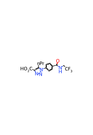 CCCc1c(C(=O)O)nnn1-c1ccc(C(=O)NCC(F)(F)F)cc1